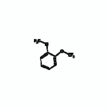 FC(F)(F)Oc1ccccc1OC(F)(F)F